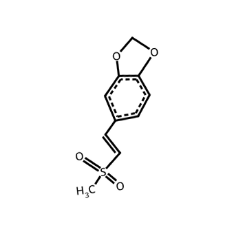 CS(=O)(=O)/C=C/c1ccc2c(c1)OCO2